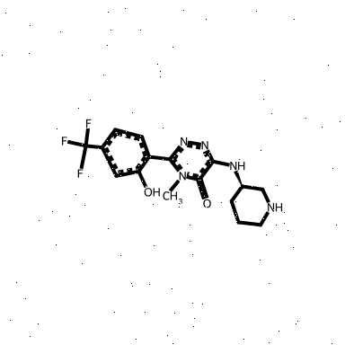 Cn1c(-c2ccc(C(F)(F)F)cc2O)nnc(N[C@@H]2CCCNC2)c1=O